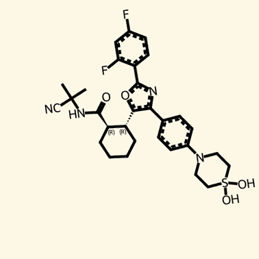 CC(C)(C#N)NC(=O)[C@@H]1CCCC[C@H]1c1oc(-c2ccc(F)cc2F)nc1-c1ccc(N2CCS(O)(O)CC2)cc1